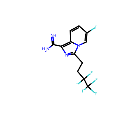 N=C(N)c1nc(CCC(F)(F)C(F)(F)F)n2cc(F)ccc12